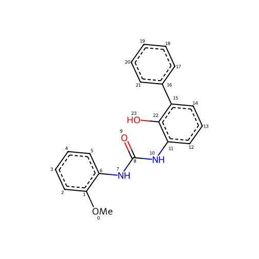 COc1ccccc1NC(=O)Nc1cccc(-c2ccccc2)c1O